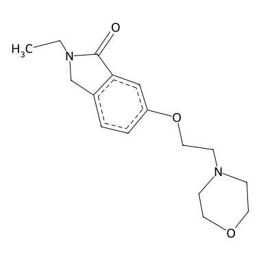 CCN1Cc2ccc(OCCN3CCOCC3)cc2C1=O